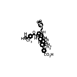 CC1(C)C(c2ccc(C(=O)O)cc2)=CC[C@]2(C)[C@H]3CC[C@@H]4[C@H]5[C@H](NC(=O)c6ccc(C7(C(F)(F)F)NN7)cc6)CC[C@]5(NCCN5CCS(=O)(=O)CC5)CC[C@@]4(C)[C@]3(C)CC[C@@H]12